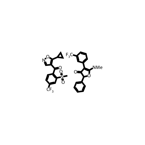 CNC1=C(c2cccc(C(F)(F)F)c2)C(=O)C(c2ccccc2)O1.CS(=O)(=O)c1cc(C(F)(F)F)ccc1C(=O)c1cnoc1C1CC1